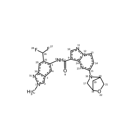 Cn1cc2cc(NC(=O)c3cnn4ccc(N5CC6CC5CO6)nc34)c(C(F)F)cc2n1